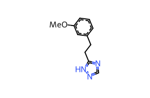 COc1cccc(CCc2ncn[nH]2)c1